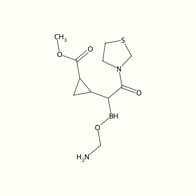 COC(=O)C1CC1C(BOCN)C(=O)N1CCSC1